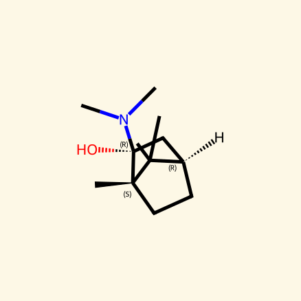 CN(C)[C@@]1(O)C[C@H]2CC[C@@]1(C)C2(C)C